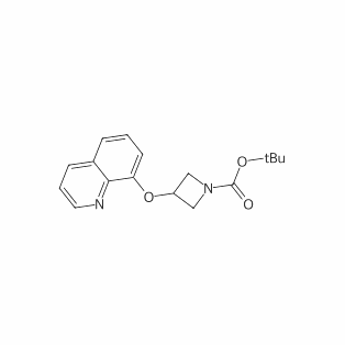 CC(C)(C)OC(=O)N1CC(Oc2cccc3cccnc23)C1